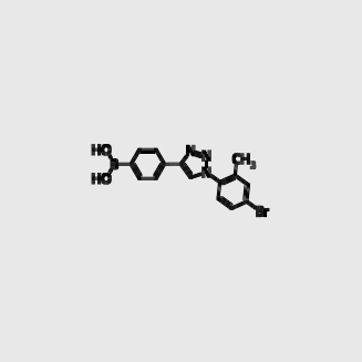 Cc1cc(Br)ccc1-n1cc(-c2ccc(B(O)O)cc2)nn1